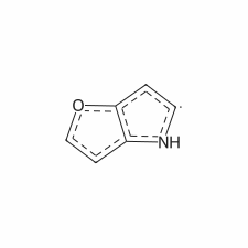 [c]1cc2occc2[nH]1